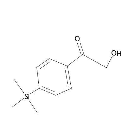 C[Si](C)(C)c1ccc(C(=O)CO)cc1